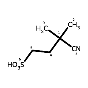 CC(C)(C#N)CCS(=O)(=O)O